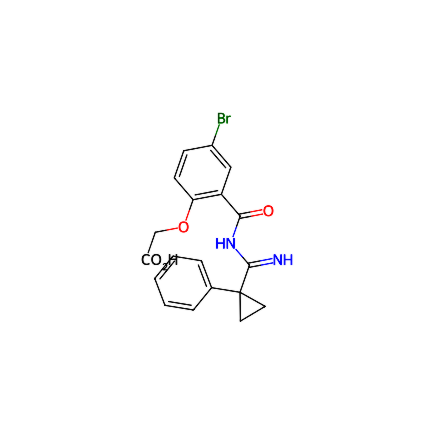 N=C(NC(=O)c1cc(Br)ccc1OCC(=O)O)C1(c2ccccc2)CC1